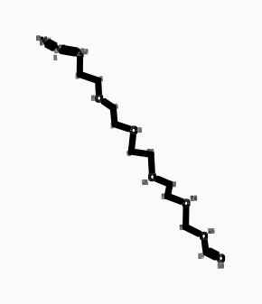 [N-]=[N+]=NCCOCCOCCOCCOCOC=O